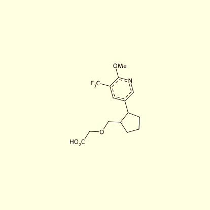 COc1ncc(C2CCCC2COCC(=O)O)cc1C(F)(F)F